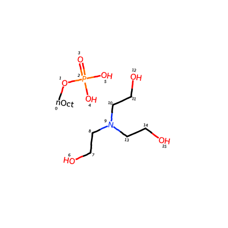 CCCCCCCCOP(=O)(O)O.OCCN(CCO)CCO